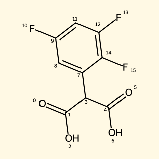 O=C(O)C(C(=O)O)c1cc(F)cc(F)c1F